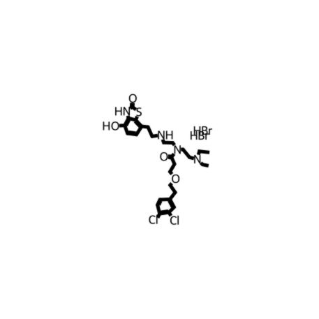 Br.Br.CCN(CC)CCN(CCNCCc1ccc(O)c2[nH]c(=O)sc12)C(=O)CCOCCc1ccc(Cl)c(Cl)c1